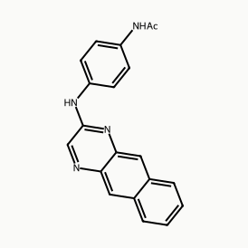 CC(=O)Nc1ccc(Nc2cnc3cc4ccccc4cc3n2)cc1